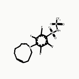 O=S(=O)(NS(=O)(=O)C(F)(F)F)c1c(F)c(F)c(N2CC/C=C\CCCC2)c(F)c1F